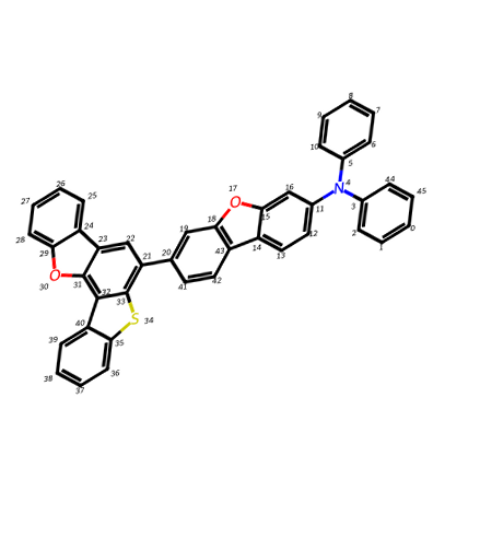 c1ccc(N(c2ccccc2)c2ccc3c(c2)oc2cc(-c4cc5c6ccccc6oc5c5c4sc4ccccc45)ccc23)cc1